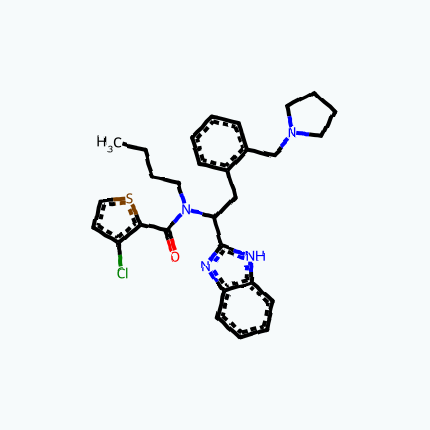 CCCCN(C(=O)c1sccc1Cl)C(Cc1ccccc1CN1CCCC1)c1nc2ccccc2[nH]1